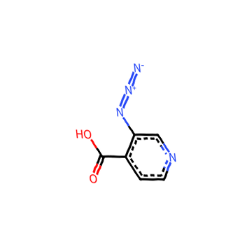 [N-]=[N+]=Nc1cnccc1C(=O)O